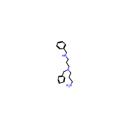 NCCCN(CCCNCc1ccccc1)Cc1ccccc1